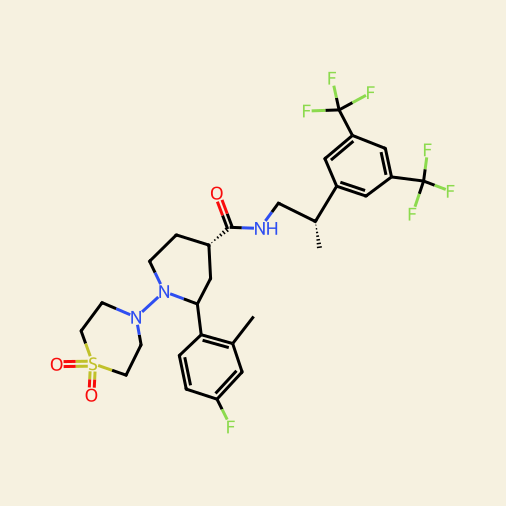 Cc1cc(F)ccc1C1C[C@@H](C(=O)NC[C@@H](C)c2cc(C(F)(F)F)cc(C(F)(F)F)c2)CCN1N1CCS(=O)(=O)CC1